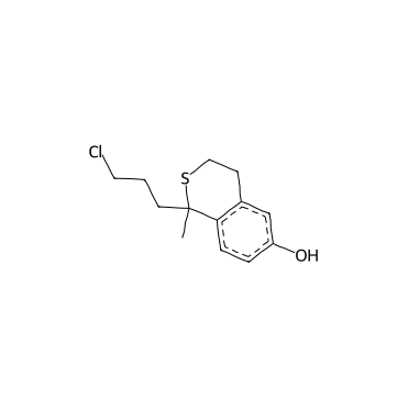 CC1(CCCCl)SCCc2cc(O)ccc21